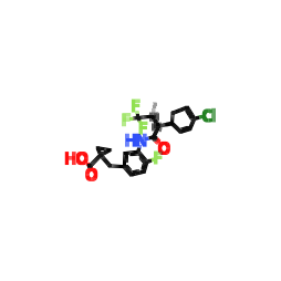 C[C@H]([C@H](C(=O)Nc1cc(CC2(C(=O)O)CC2)ccc1F)C1C=CC(Cl)=CC1)C(F)(F)F